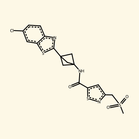 CS(=O)(=O)Cc1cc(C(=O)NC23CC(c4nc5ccc(Cl)cc5s4)(C2)C3)sn1